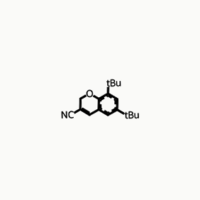 CC(C)(C)c1cc2c(c(C(C)(C)C)c1)OCC(C#N)=C2